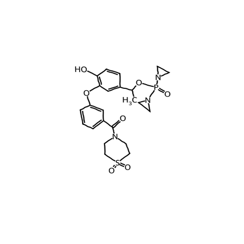 CC(OP(=O)(N1CC1)N1CC1)c1ccc(O)c(Oc2cccc(C(=O)N3CCS(=O)(=O)CC3)c2)c1